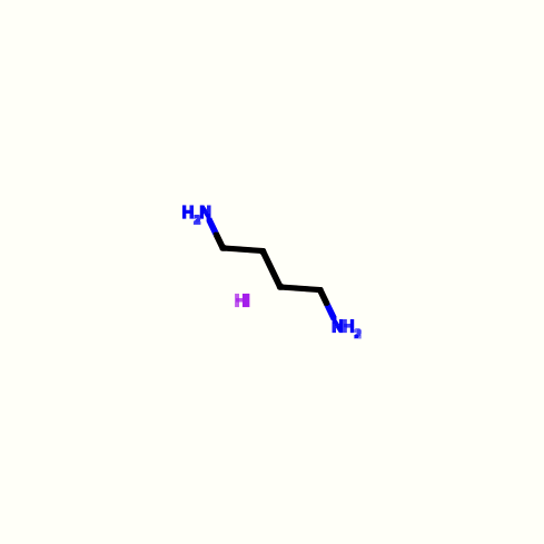 I.NCCCCN